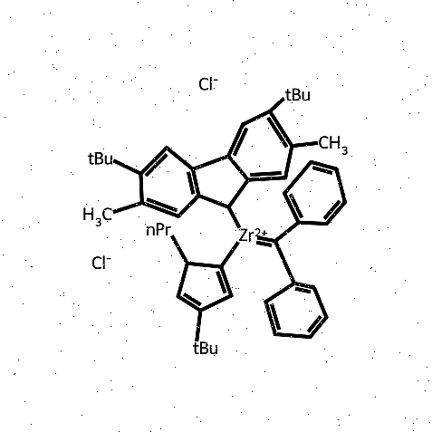 CCCC1C=C(C(C)(C)C)C=[C]1[Zr+2](=[C](c1ccccc1)c1ccccc1)[CH]1c2cc(C)c(C(C)(C)C)cc2-c2cc(C(C)(C)C)c(C)cc21.[Cl-].[Cl-]